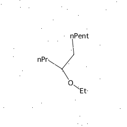 C[CH]OC(CCC)CCCCCC